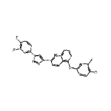 Fc1ccc(-n2cc(-c3ccc4c(Oc5ccc(Cl)c(I)c5)cccc4n3)nn2)cc1F